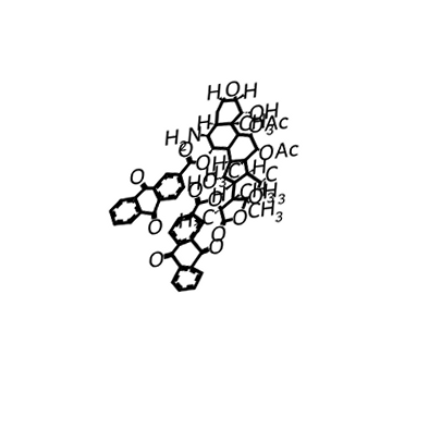 CC(=O)O[C@H]1C2C([C@@H](OC(=O)c3ccc4c(c3)C(=O)c3ccccc3C4=O)[C@@H](N)[C@H]3C[C@@H]4O[C@@H]4[C@H](O)[C@]23C)[C@@H]2[C@@H](O)[C@@H]3[C@H]([C@H](C)O[C@@]4(C)OC(=O)[C@@](C)(OC(=O)c5ccc6c(c5)C(=O)c5ccccc5C6=O)[C@]34C)[C@@]2(C)[C@H]1OC(C)=O